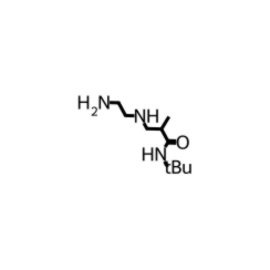 CC(CNCCN)C(=O)NC(C)(C)C